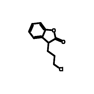 O=C1Oc2ccccc2C1CCCCl